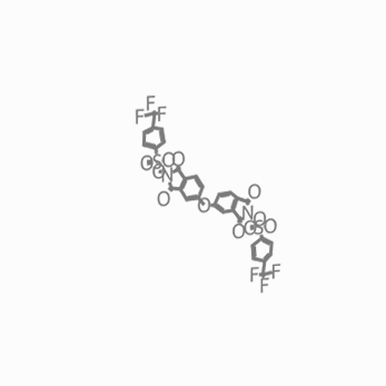 O=C1c2ccc(Oc3ccc4c(c3)C(=O)N(OS(=O)(=O)c3ccc(C(F)(F)F)cc3)C4=O)cc2C(=O)N1OS(=O)(=O)c1ccc(C(F)(F)F)cc1